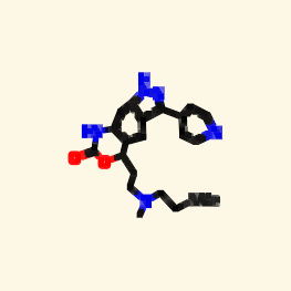 CNCCN(C)CCC1OC(=O)Nc2cc3[nH]nc(-c4ccncc4)c3cc21